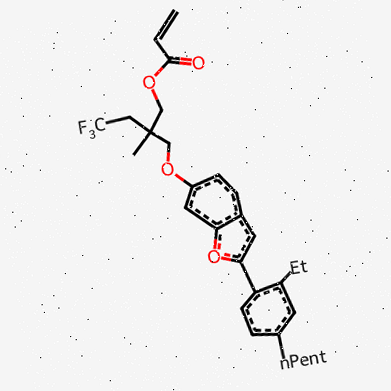 C=CC(=O)OCC(C)(COc1ccc2cc(-c3ccc(CCCCC)cc3CC)oc2c1)CC(F)(F)F